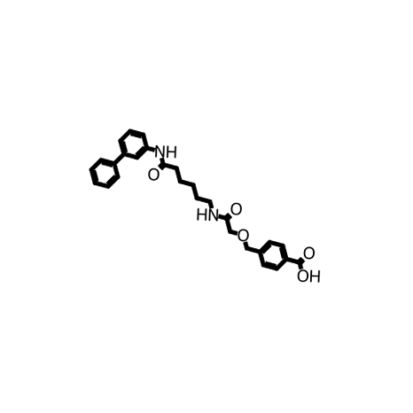 O=C(COCc1ccc(C(=O)O)cc1)NCCCCCC(=O)Nc1cccc(-c2ccccc2)c1